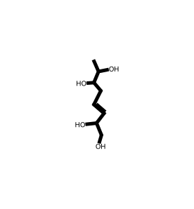 CC(O)C(O)CC=CC(O)CO